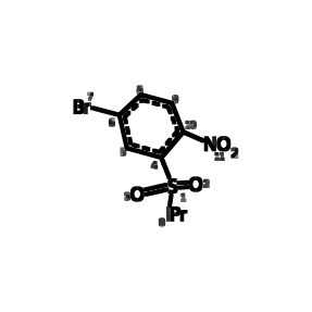 CC(C)S(=O)(=O)c1cc(Br)ccc1[N+](=O)[O-]